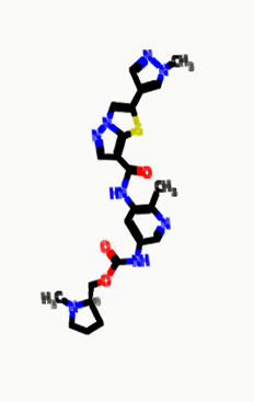 Cc1ncc(NC(=O)OC[C@H]2CCCN2C)cc1NC(=O)c1cnn2cc(-c3cnn(C)c3)sc12